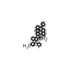 Cc1ccc(N(c2ccccc2)c2cc3c(c4ccccc24)-c2cc4c(cc2C3(C)C)B2c3c(cccc3N(c3ccccc3)c3ccc5ccccc5c32)O4)cc1